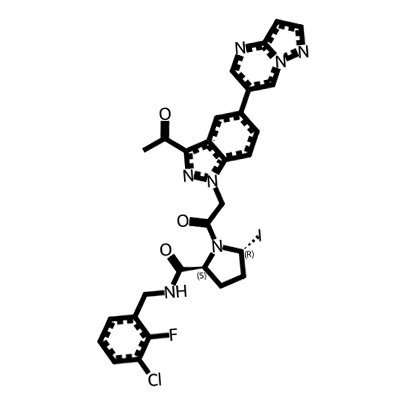 CC(=O)c1nn(CC(=O)N2[C@H](I)CC[C@H]2C(=O)NCc2cccc(Cl)c2F)c2ccc(-c3cnc4ccnn4c3)cc12